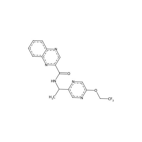 CC(NC(=O)c1cnc2ccccc2n1)c1cnc(OCC(F)(F)F)cn1